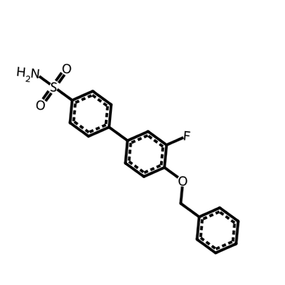 NS(=O)(=O)c1ccc(-c2ccc(OCc3ccccc3)c(F)c2)cc1